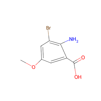 COc1cc(Br)c(N)c(C(=O)O)c1